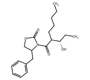 CCCCCC(C(=O)N1C(=O)OCC1Cc1ccccc1)[C@@H](O)CC